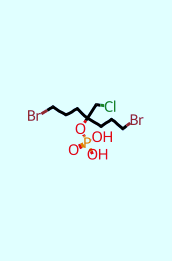 O=P(O)(O)OC(CCl)(CCCBr)CCCBr